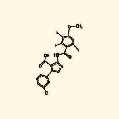 COc1cc(I)c(C(=O)Nc2scc(-c3cccc(Cl)c3)c2C(=O)O)c(I)c1I